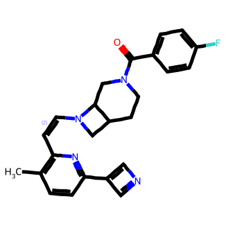 Cc1ccc(C2=CN=C2)nc1/C=C\N1CC2CCN(C(=O)c3ccc(F)cc3)CC21